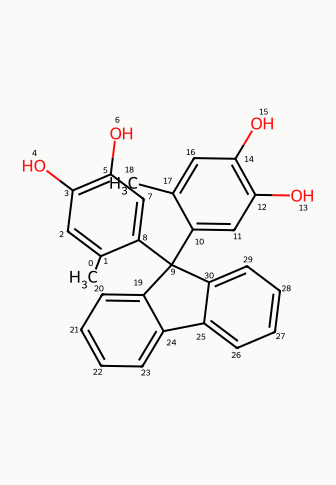 Cc1cc(O)c(O)cc1C1(c2cc(O)c(O)cc2C)c2ccccc2-c2ccccc21